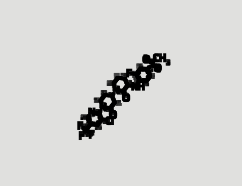 CS(=O)(=O)c1ccc(NC2CCCN(C3CCN(c4ncc(C(F)(F)F)cc4Cl)C(=O)C3)C2=O)c(F)c1